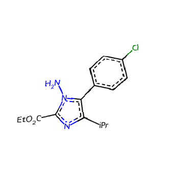 CCOC(=O)c1nc(C(C)C)c(-c2ccc(Cl)cc2)n1N